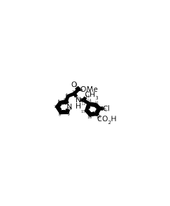 COC(=O)C(Cc1ccccn1)NC(C)c1ccc(C(=O)O)c(Cl)c1